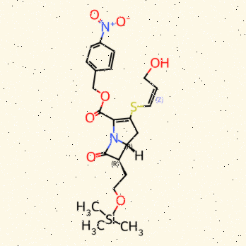 C[Si](C)(C)OCC[C@H]1C(=O)N2C(C(=O)OCc3ccc([N+](=O)[O-])cc3)=C(S/C=C\CO)C[C@H]12